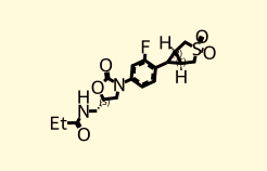 CCC(=O)NC[C@H]1CN(c2ccc(C3[C@H]4CS(=O)(=O)C[C@@H]34)c(F)c2)C(=O)O1